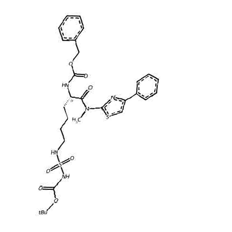 CN(C(=O)[C@H](CCCCNS(=O)(=O)NC(=O)OC(C)(C)C)NC(=O)OCc1ccccc1)c1nc(-c2ccccc2)cs1